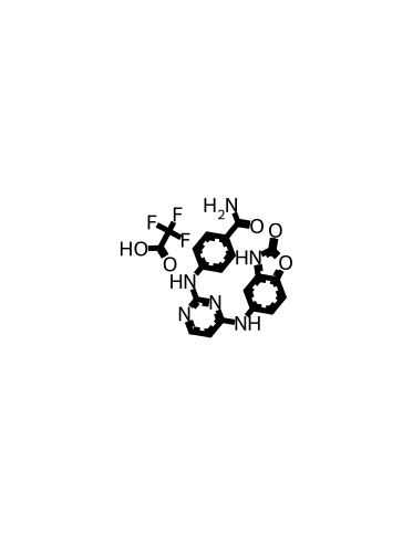 NC(=O)c1ccc(Nc2nccc(Nc3ccc4oc(=O)[nH]c4c3)n2)cc1.O=C(O)C(F)(F)F